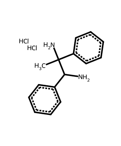 CC(N)(c1ccccc1)C(N)c1ccccc1.Cl.Cl